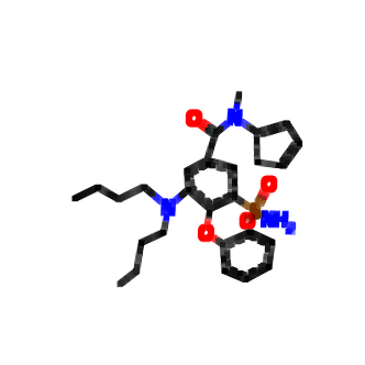 CCCCN(CCCC)c1cc(C(=O)N(C)C2=CC=CC2)cc(S(N)(=O)=O)c1Oc1ccccc1